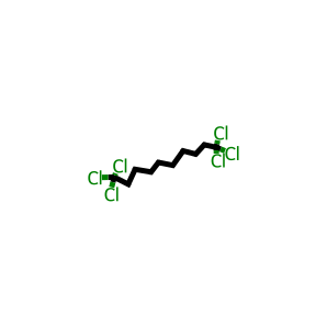 ClC(Cl)(Cl)CCCCCCCCC(Cl)(Cl)Cl